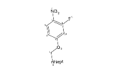 [CH2]CCCCCCCOc1ccc([N+](=O)[O-])c(F)c1